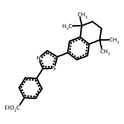 CCOC(=O)c1ccc(-c2ncc(-c3ccc4c(c3)C(C)(C)CCC4(C)C)s2)cc1